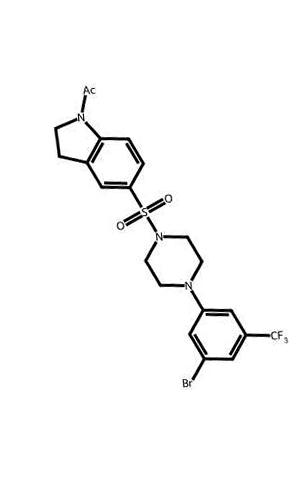 CC(=O)N1CCc2cc(S(=O)(=O)N3CCN(c4cc(Br)cc(C(F)(F)F)c4)CC3)ccc21